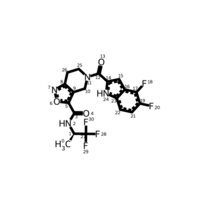 C[C@@H](NC(=O)c1onc2c1CN(C(=O)c1cc3c(F)c(F)ccc3[nH]1)CC2)C(F)(F)F